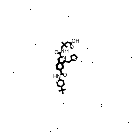 CC(C)(CNC(=O)c1cc2ccc(C(=O)NC3CCC(C(C)(C)C)CC3)cc2c(CC2CCCC2)n1)CC(=O)O